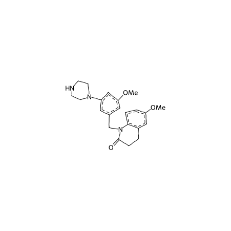 COc1cc(CN2C(=O)CCc3cc(OC)ccc32)cc(N2CCNCC2)c1